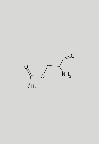 CC(=O)OCC(N)[C]=O